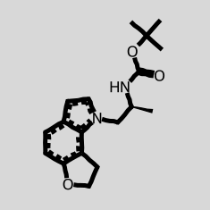 C[C@@H](Cn1ccc2ccc3c(c21)CCO3)NC(=O)OC(C)(C)C